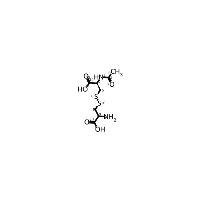 CC(=O)N[C@@H](CSSCC(N)C(=O)O)C(=O)O